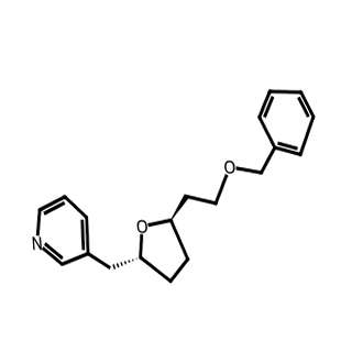 c1ccc(COCC[C@H]2CC[C@H](Cc3cccnc3)O2)cc1